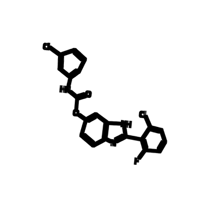 O=C(Nc1cccc(Cl)c1)Oc1ccc2nc(-c3c(F)cccc3Cl)[nH]c2c1